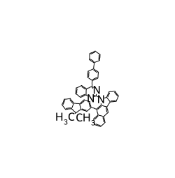 CC1(C)c2ccccc2-c2ccc(-c3c4ccccc4cc4c5ccccc5n(-c5nc(-c6ccc(-c7ccccc7)cc6)c6ccccc6n5)c34)cc21